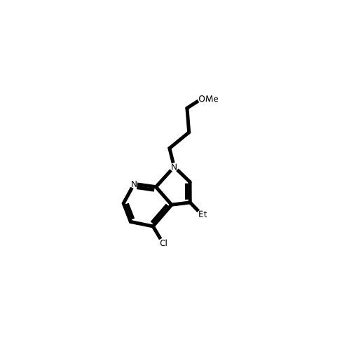 CCc1cn(CCCOC)c2nccc(Cl)c12